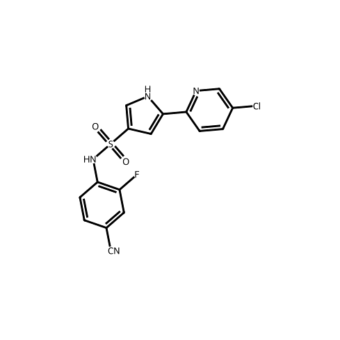 N#Cc1ccc(NS(=O)(=O)c2c[nH]c(-c3ccc(Cl)cn3)c2)c(F)c1